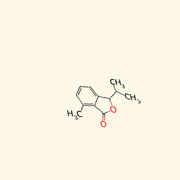 Cc1cccc2c1C(=O)OC2C(C)C